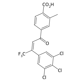 Cc1cc(C(=O)/C=C(\c2cc(Cl)c(Cl)c(Cl)c2)C(F)(F)F)ccc1C(=O)O